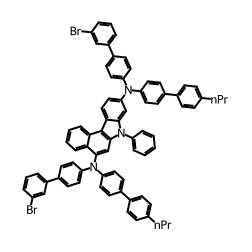 CCCc1ccc(-c2ccc(N(c3ccc(-c4cccc(Br)c4)cc3)c3ccc4c5c6ccccc6c(N(c6ccc(-c7ccc(CCC)cc7)cc6)c6ccc(-c7cccc(Br)c7)cc6)cc5n(-c5ccccc5)c4c3)cc2)cc1